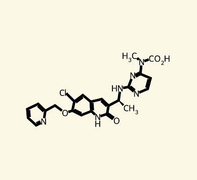 C[C@H](Nc1nccc(N(C)C(=O)O)n1)c1cc2cc(Cl)c(OCc3ccccn3)cc2[nH]c1=O